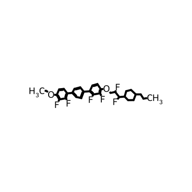 CCCC1CCC(C(F)C(F)COc2ccc(-c3ccc(-c4ccc(OCC)c(F)c4F)cc3)c(F)c2F)CC1